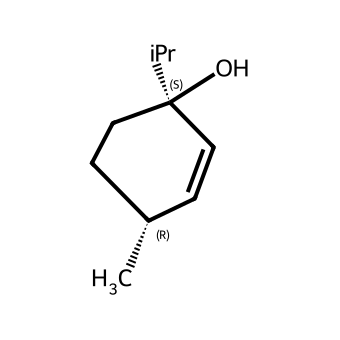 CC(C)[C@]1(O)C=C[C@H](C)CC1